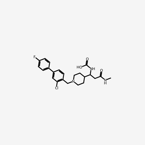 CNC(=O)CC(NC(=O)O)C1CCN(Cc2ccc(-c3ccc(F)cc3)cc2Cl)CC1